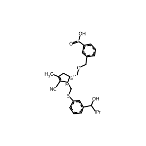 CC1=C(C#N)[C@H](CSc2cccc(C(O)C(C)C)c2)[C@@H](COCc2cccc(S(=O)O)c2)C1